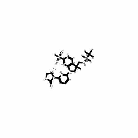 C[C@H]1COC(=O)N1c1cccc(N2CC(C)(CO[Si](C)(C)C(C)(C)C)c3cnc(S(C)(=O)=O)nc32)n1